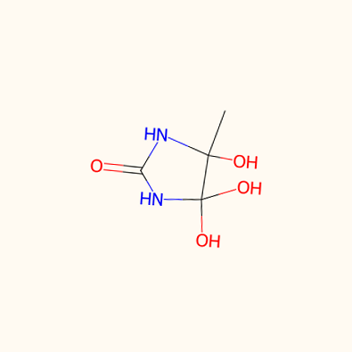 CC1(O)NC(=O)NC1(O)O